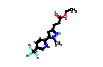 CCOC(=O)CCc1cc(-c2ccc(C(F)(F)F)cn2)n(C)n1